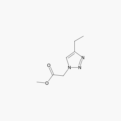 CCc1cn(CC(=O)OC)nn1